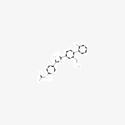 COCc1cc(-c2nc(-c3ccc(NC(C)=O)nc3)no2)ccc1-c1ccccc1C